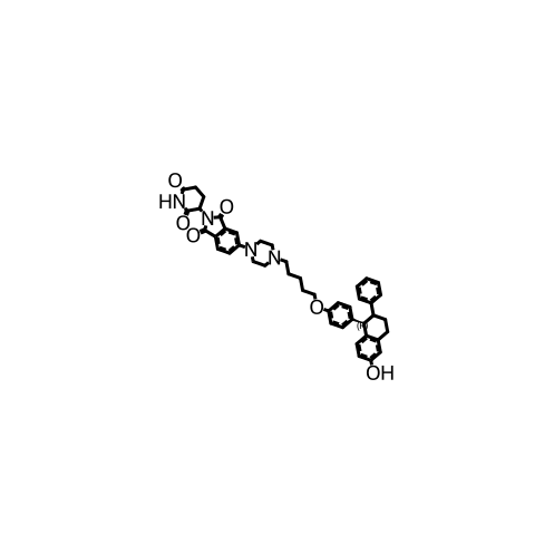 O=C1CCC(N2C(=O)c3ccc(N4CCN(CCCCCOc5ccc([C@@H]6c7ccc(O)cc7CCC6c6ccccc6)cc5)CC4)cc3C2=O)C(=O)N1